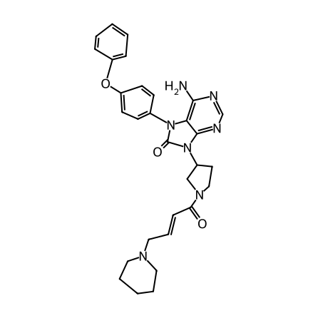 Nc1ncnc2c1n(-c1ccc(Oc3ccccc3)cc1)c(=O)n2C1CCN(C(=O)/C=C/CN2CCCCC2)C1